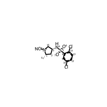 C[C@H]1C[C@@H](NS(=O)(=O)c2cc(Cl)ccc2Cl)CN1C#N